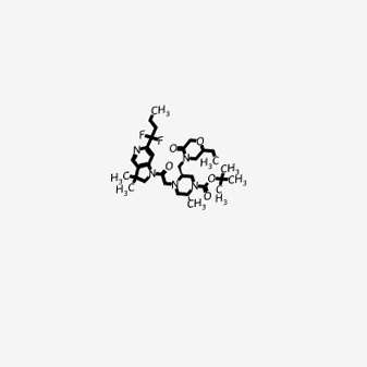 CCCC(F)(F)c1cc2c(cn1)C(C)(C)CN2C(=O)CN1C[C@@H](C)N(C(=O)OC(C)(C)C)C[C@@H]1CN1CC(CC)OCC1=O